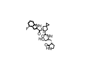 O=C1NCC[C@H]1C[C@@H](CO)NC(=O)[C@@H]1CC2(CC2)CN1C(=O)c1cc2c(F)cccc2[nH]1